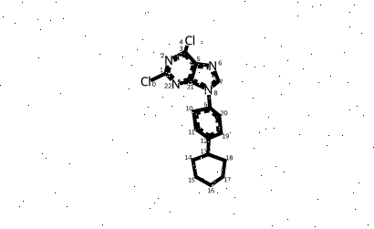 Clc1nc(Cl)c2ncn(-c3ccc(C4CCCCC4)cc3)c2n1